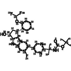 CC(C)(C)OC(=O)NC(C)(C)c1ncc(-c2cn3c4c(nc3cc2F)[C@H](O)C[C@@H]4c2ccccc2OC(F)F)cn1